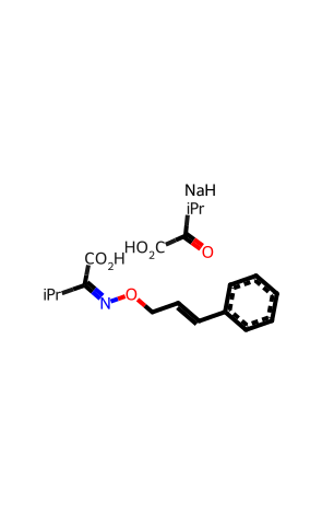 CC(C)/C(=N/OC/C=C/c1ccccc1)C(=O)O.CC(C)C(=O)C(=O)O.[NaH]